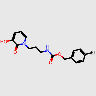 CCc1ccc(COC(=O)NCCCn2cccc(O)c2=O)cc1